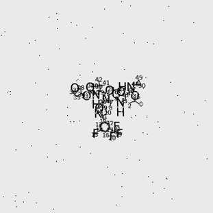 CCC[C@H](NC(=O)[C@@H]1C[C@@]2(CC(c3cc(F)cc(C(F)(F)F)c3)=NO2)CN1C(=O)[C@@H](NC(=O)O[C@H]1CCOC1)C(C)(C)C)C(=O)C(=O)NC1CC1